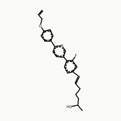 C=CCOc1ccc(-c2ccc(-c3ccc(/C=C/CCCC(C)O)cc3F)cn2)cc1